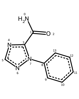 NC(=O)c1ncnn1-c1ccccc1